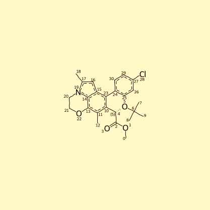 COC(=O)[C@@H](OC(C)(C)C)c1c(C)c2c3c(cc(C)n3CCO2)c1-c1ccc(Cl)cc1